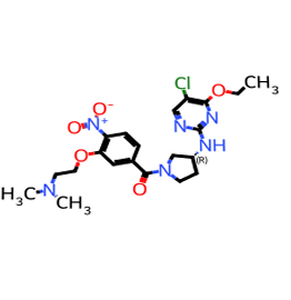 CCOc1nc(N[C@@H]2CCN(C(=O)c3ccc([N+](=O)[O-])c(OCCN(C)C)c3)C2)ncc1Cl